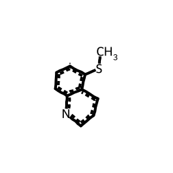 CSc1[c]ccc2ncccc12